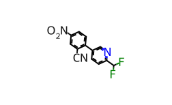 N#Cc1cc([N+](=O)[O-])ccc1-c1ccc(C(F)F)nc1